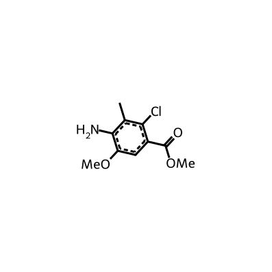 COC(=O)c1cc(OC)c(N)c(C)c1Cl